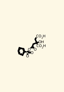 O=C(O)CC(O)(CC(=O)OS(=O)(=O)c1ccccc1)C(=O)O